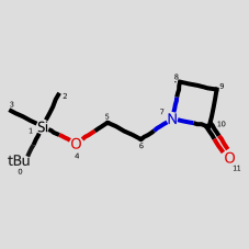 CC(C)(C)[Si](C)(C)OCCN1[CH]CC1=O